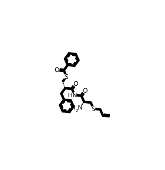 C=CCSC[C@H](N)C(=O)NC(=O)[C@@H](CSC(=O)c1ccccc1)Cc1ccccc1